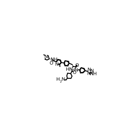 Cc1nc(C(=O)N[C@@H]2CCN(C)C2)ccc1-c1ccc(C[C@H](NC(=O)C2CCC(CN)CC2)C(=O)Nc2ccc(-c3nn[nH]n3)cc2)cc1